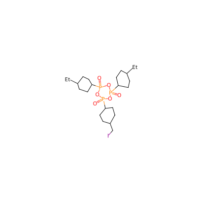 CCC1CCC(P2(=O)OP(=O)(C3CCC(CC)CC3)OP(=O)(C3CCC(CI)CC3)O2)CC1